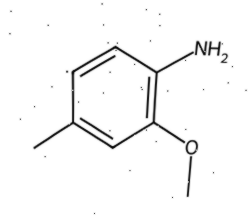 COc1cc(C)[c]cc1N